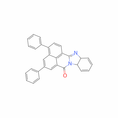 O=c1c2cc(-c3ccccc3)cc3c(-c4ccccc4)ccc(c4n1C1C=CC=CC1N=4)c32